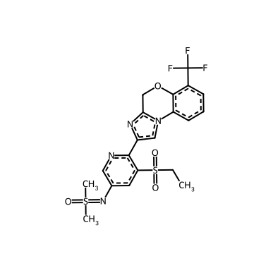 CCS(=O)(=O)c1cc(N=S(C)(C)=O)cnc1-c1cn2c(n1)COc1c-2cccc1C(F)(F)F